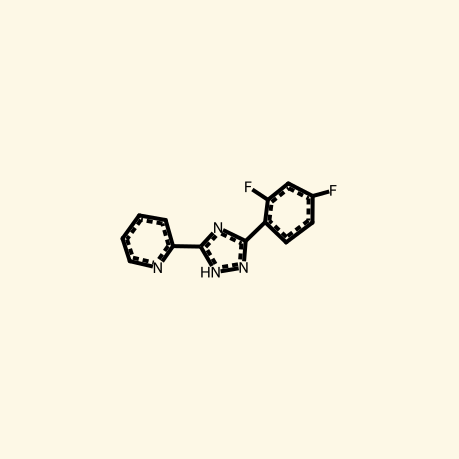 Fc1ccc(-c2n[nH]c(-c3ccccn3)n2)c(F)c1